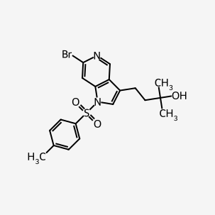 Cc1ccc(S(=O)(=O)n2cc(CCC(C)(C)O)c3cnc(Br)cc32)cc1